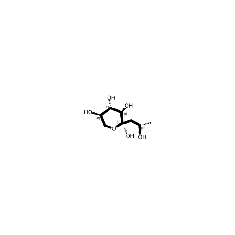 C[C@H](O)C[C@@]1(O)OC[C@@H](O)[C@H](O)[C@H]1O